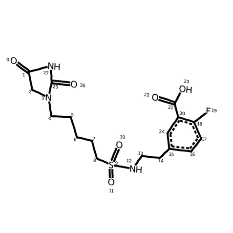 O=C1CN(CCCCCS(=O)(=O)NCCc2ccc(F)c(C(=O)O)c2)C(=O)N1